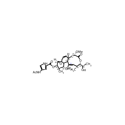 CO[C@H]1C[C@H]2C=CC3C4[C@H](O)[C@@H](C)[C@@H](OC(=O)c5cc(NC(C)=O)c[nH]5)[C@@H]3O[C@]42/C(C)=C/[C@@H](C)[C@@H]([C@@H](C)O)OC1=O